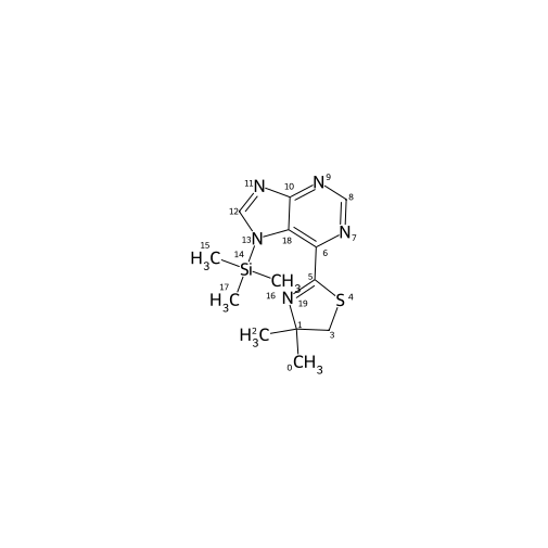 CC1(C)CSC(c2ncnc3ncn([Si](C)(C)C)c23)=N1